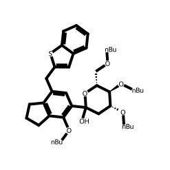 CCCCOC[C@H]1OC(O)(c2cc(Cc3cc4ccccc4s3)c3c(c2OCCCC)CCC3)C[C@@H](OCCCC)[C@@H]1OCCCC